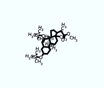 COC(=O)[C@@H](C)C1CC[C@H]2[C@@H]3C(O[Si](C)(C)C)=CC4CC(O[Si](C)(C)C)CCC4(C)[C@H]3CCC12C